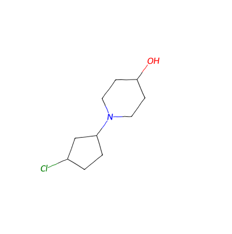 OC1CCN(C2CCC(Cl)C2)CC1